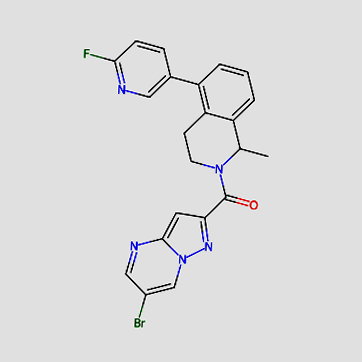 CC1c2cccc(-c3ccc(F)nc3)c2CCN1C(=O)c1cc2ncc(Br)cn2n1